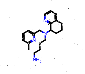 Cc1cccc(CN(CCCCN)C2CCCc3cccnc32)n1